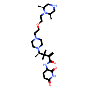 C=C(C(=O)NC1CCC(=O)NC1=O)C(C)(C)[C@@H](C)N1CCN(CCOCCN2[C@H](C)CNC[C@@H]2C)CC1